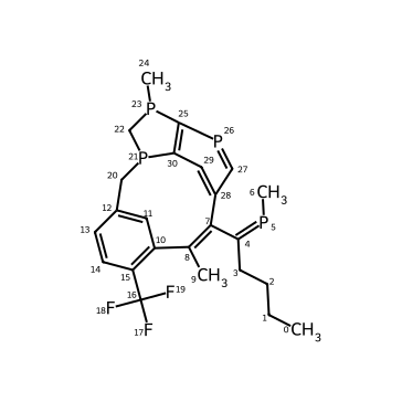 CCCCC(=P/C)/C1=C(\C)c2cc(ccc2C(F)(F)F)CP2CP(C)c3pcc1cc32